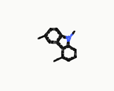 Cc1ccc2c(c1)c1c(C)cccc1n2C